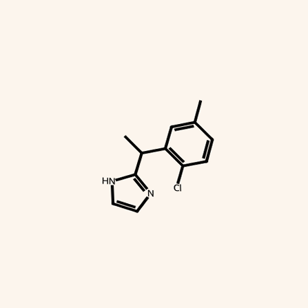 Cc1ccc(Cl)c(C(C)c2ncc[nH]2)c1